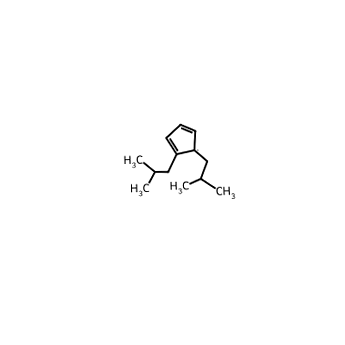 CC(C)C[C]1C=CC=C1CC(C)C